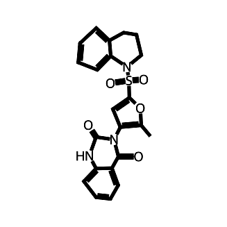 Cc1oc(S(=O)(=O)N2CCCc3ccccc32)cc1-n1c(=O)[nH]c2ccccc2c1=O